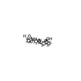 CCC(NC(=O)c1ccc2c(cnn2Cc2ccc(-c3ccccc3C(=O)O)cc2)c1)c1ccccc1